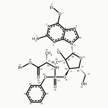 CCOc1nc(N)nc2c1ncn2[C@@H]1O[C@H](CO)[C@@H](OP(=O)(N[C@@H](C)C(=O)OC(C)C)Oc2ccccc2)[C@@]1(C)Cl